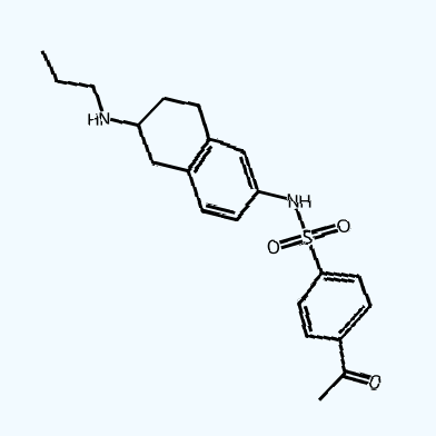 CCCNC1CCc2cc(NS(=O)(=O)c3ccc(C(C)=O)cc3)ccc2C1